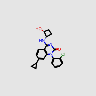 O=c1nc(N[C@H]2CC[C@@H]2O)c2ccc(C3CC3)cc2n1-c1ccccc1Cl